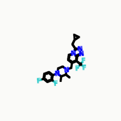 CC1C(C)N(c2ccc(F)cc2F)CCN1Cc1ccn2c(CC3CC3)nnc2c1C(F)(F)F